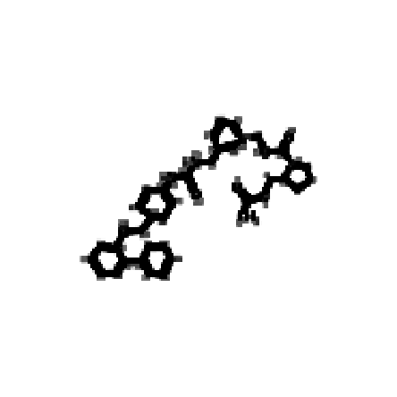 CC(=O)OC[C@@H]1CCCN1C(=O)OC[n+]1cccc(CNC(=O)Nc2ccc(COc3ccccc3-c3ccccc3)cc2)c1